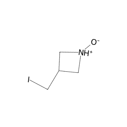 [O-][NH+]1CC(CI)C1